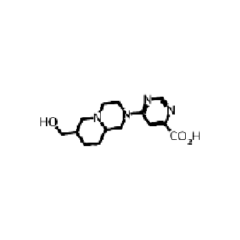 O=C(O)c1cc(N2CCN3CC(CO)CCC3C2)ncn1